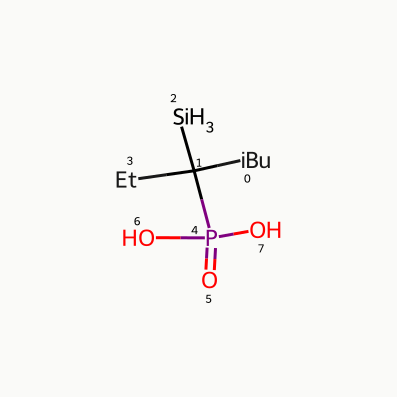 CCC(C)C([SiH3])(CC)P(=O)(O)O